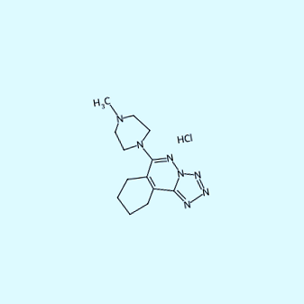 CN1CCN(c2nn3nnnc3c3c2CCCC3)CC1.Cl